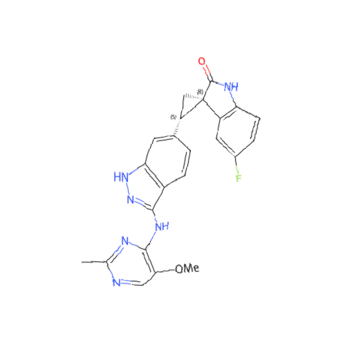 COc1cnc(C)nc1Nc1n[nH]c2cc([C@@H]3C[C@@]34C(=O)Nc3ccc(F)cc34)ccc12